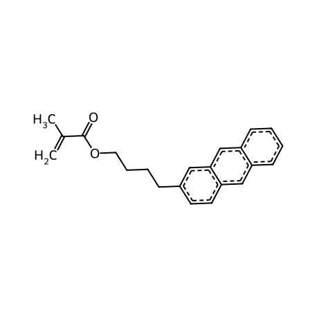 C=C(C)C(=O)OCCCCc1ccc2cc3ccccc3cc2c1